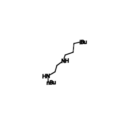 CCCCNCCNCCCC(C)CC